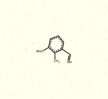 COc1cccc(C=N)c1C